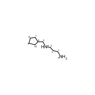 NCCCNCC1CCCC1